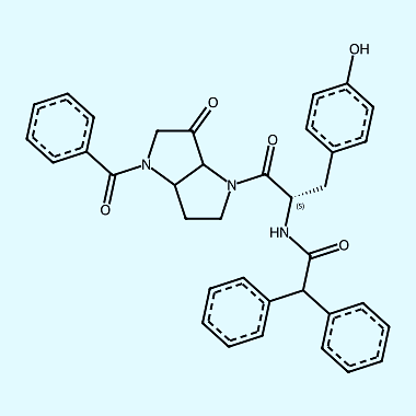 O=C(N[C@@H](Cc1ccc(O)cc1)C(=O)N1CCC2C1C(=O)CN2C(=O)c1ccccc1)C(c1ccccc1)c1ccccc1